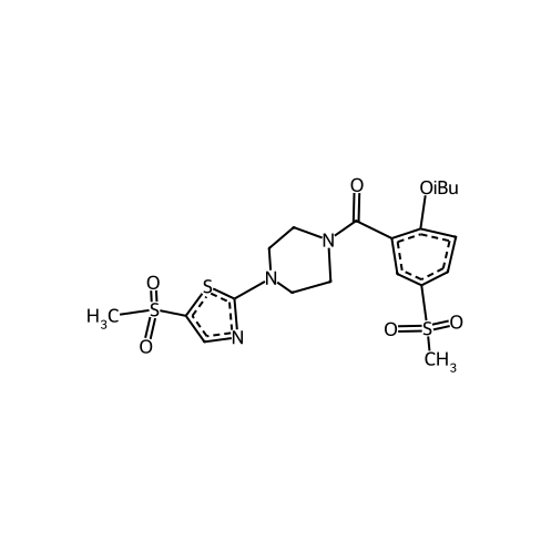 CC(C)COc1ccc(S(C)(=O)=O)cc1C(=O)N1CCN(c2ncc(S(C)(=O)=O)s2)CC1